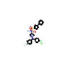 C[C@@H]1[C@@H](NS(=O)(=O)c2ccc(-c3ccccc3)cc2)CN1C(c1ccc(Cl)cc1)c1ccc(Cl)cc1